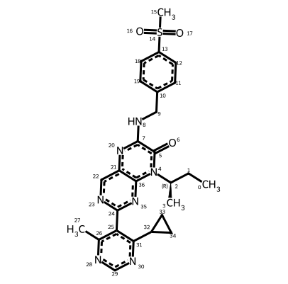 CC[C@@H](C)n1c(=O)c(NCc2ccc(S(C)(=O)=O)cc2)nc2cnc(-c3c(C)ncnc3C3CC3)nc21